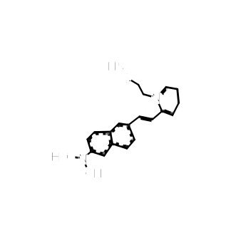 CN(C)c1ccc2cc(/C=C/C3=CCCC=[N+]3CCSS)ccc2c1